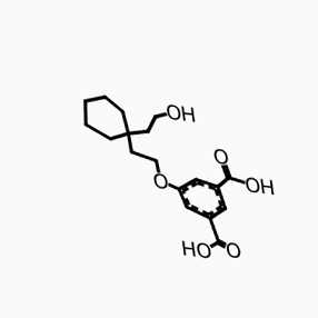 O=C(O)c1cc(OCCC2(CCO)CCCCC2)cc(C(=O)O)c1